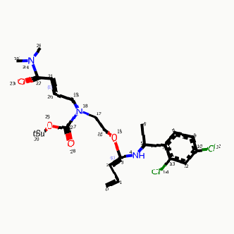 C=C/C=C(\NC(C)c1ccc(Cl)cc1Cl)OCCN(C/C=C/C(=O)N(C)C)C(=O)OC(C)(C)C